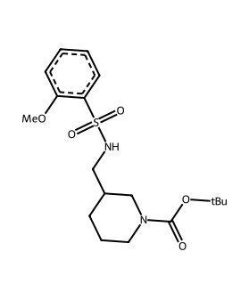 COc1ccccc1S(=O)(=O)NCC1CCCN(C(=O)OC(C)(C)C)C1